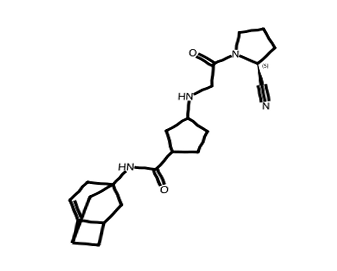 N#C[C@@H]1CCCN1C(=O)CNC1CCC(C(=O)NC23CC=C4C(CC4C2)C3)C1